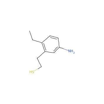 CCc1ccc(N)cc1CCS